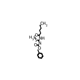 C=CCCCC(=O)N/C(=N/C(=O)OCc1ccccc1)SC